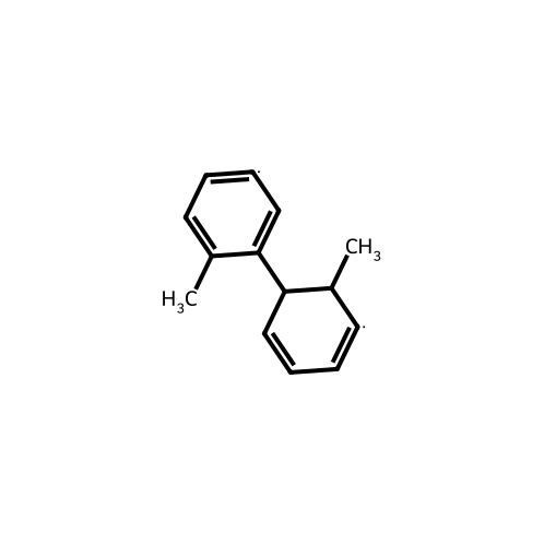 Cc1cc[c]cc1C1C=CC=[C]C1C